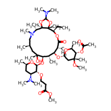 CC[C@H]1OC(=O)[C@H](C)[C@@H](O[C@H]2C[C@@](C)(OC)[C@@H](OC(C)=O)[C@H](C)O2)[C@H](C)[C@@H](O[C@@H]2O[C@H](C)C[C@H](N(C)C)[C@H]2OCCC(=O)OC)[C@](C)(O)C[C@@H](C)CN(C)[C@H](C)[C@H]2OC(N(C)C)O[C@@]21C